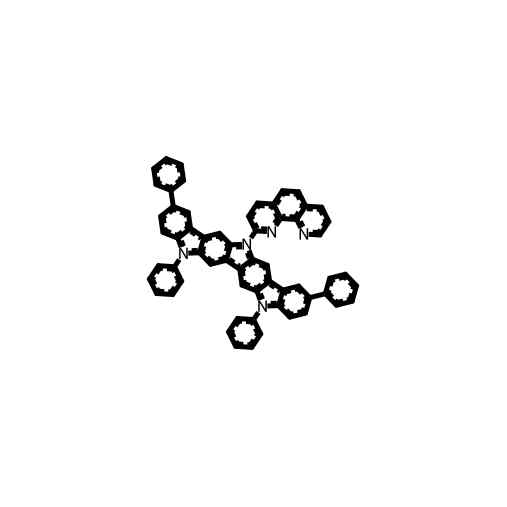 c1ccc(-c2ccc3c(c2)c2cc4c(cc2n3-c2ccccc2)c2cc3c(cc2n4-c2ccc4ccc5cccnc5c4n2)c2cc(-c4ccccc4)ccc2n3-c2ccccc2)cc1